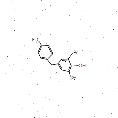 CC(C)c1cc(Cc2ccc(C(F)(F)F)cc2)cc(C(C)C)c1O